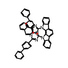 c1ccc(-c2ccc(-c3nc(-c4ccc(-c5ccccc5)cc4)nc(-n4c5ccccc5c5ccc6c7ccccc7n(-c7nc8c(ccc9ccccc98)s7)c6c54)n3)cc2)cc1